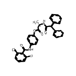 C[C@H](NC(=O)C(c1ccccc1)c1ccccc1)C(=O)Oc1ccc(NC(=O)c2c(Cl)cccc2Cl)cc1